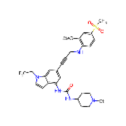 CCN1CCC(NC(=O)Nc2cc(C#CCNc3ccc(S(C)(=O)=O)cc3OC)cc3c2ccn3CC(F)(F)F)CC1